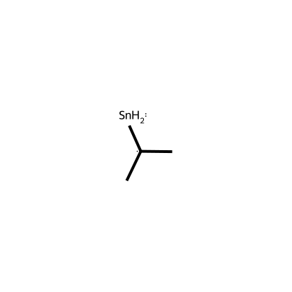 C[C](C)C.[SnH2]